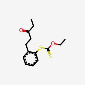 CCOC(=S)Sc1ccccc1CCC(=O)CC